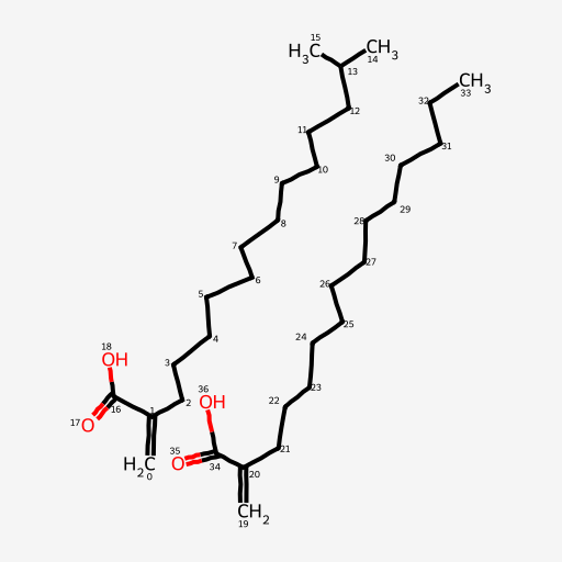 C=C(CCCCCCCCCCCC(C)C)C(=O)O.C=C(CCCCCCCCCCCCC)C(=O)O